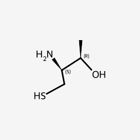 C[C@@H](O)[C@H](N)CS